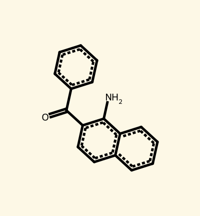 Nc1c(C(=O)c2ccccc2)ccc2ccccc12